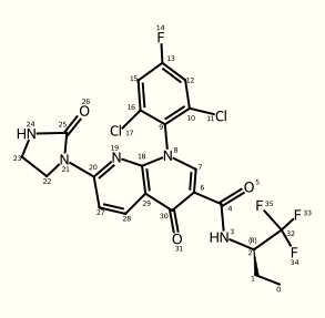 CC[C@@H](NC(=O)c1cn(-c2c(Cl)cc(F)cc2Cl)c2nc(N3CCNC3=O)ccc2c1=O)C(F)(F)F